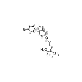 CC(C)N(C)CCCCOc1ccc2c(-c3ccc(Br)cc3)csc2c1